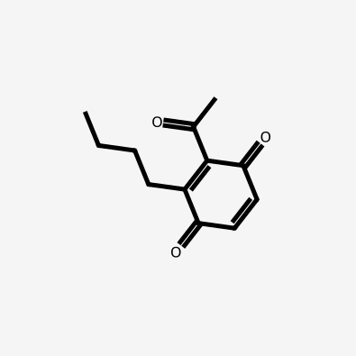 CCCCC1=C(C(C)=O)C(=O)C=CC1=O